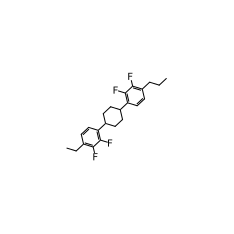 CCCc1ccc(C2CCC(c3ccc(CC)c(F)c3F)CC2)c(F)c1F